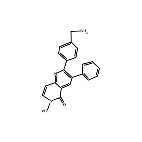 CCCn1ccc2nc(-c3ccc(CN)cc3)c(-c3ccccc3)cc2c1=O